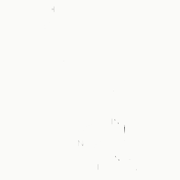 CN1C(=O)C[C@H](C(=O)NCCOC2CCC(OCCCC(=O)O)CC2)[C@H]1c1cccnc1